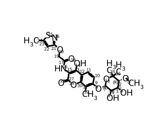 CO[C@@H]1[C@@H](O)[C@@H](O)[C@H](Oc2ccc3c(O)c(NC(=O)COc4cc(C)sn4)c(=O)oc3c2C)OC1(C)C